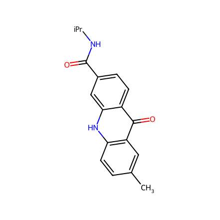 Cc1ccc2[nH]c3cc(C(=O)NC(C)C)ccc3c(=O)c2c1